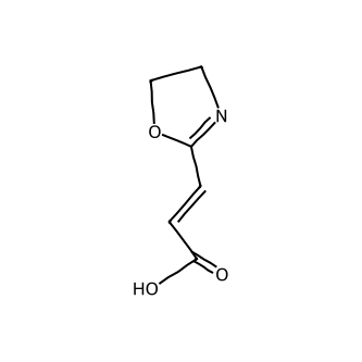 O=C(O)C=CC1=NCCO1